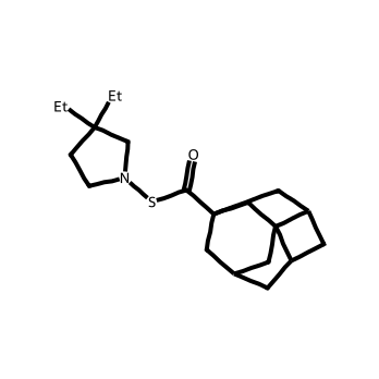 CCC1(CC)CCN(SC(=O)C23CC4CC5CC(C2)C5(C4)C3)C1